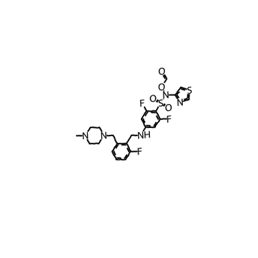 CN1CCN(Cc2cccc(F)c2CNc2cc(F)c(S(=O)(=O)N(OC=O)c3cscn3)c(F)c2)CC1